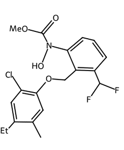 CCc1cc(Cl)c(OCc2c(C(F)F)cccc2N(O)C(=O)OC)cc1C